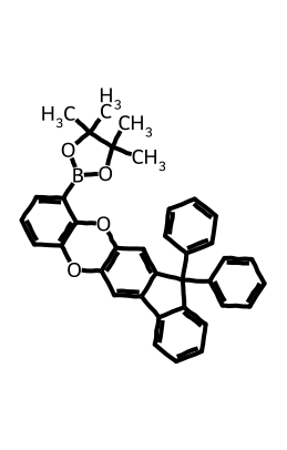 CC1(C)OB(c2cccc3c2Oc2cc4c(cc2O3)-c2ccccc2C4(c2ccccc2)c2ccccc2)OC1(C)C